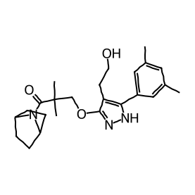 Cc1cc(C)cc(-c2[nH]nc(OCC(C)(C)C(=O)N3C4CCC3CC4)c2CCO)c1